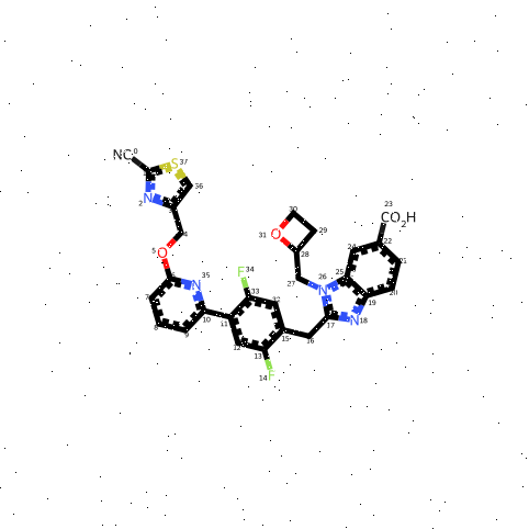 N#Cc1nc(COc2cccc(-c3cc(F)c(Cc4nc5ccc(C(=O)O)cc5n4CC4CCO4)cc3F)n2)cs1